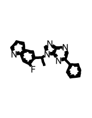 CC(c1cc2cccnc2cc1F)n1cnc2ncc(-c3ccccc3)nc21